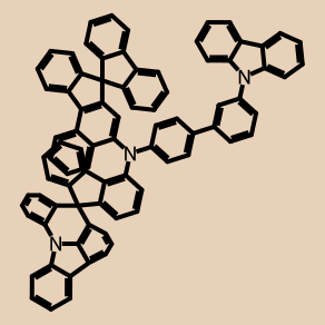 c1cc(-c2ccc(N(c3cccc4c3-c3ccccc3C43c4ccccc4-n4c5ccccc5c5cccc3c54)c3cc4c(c5ccccc35)-c3ccccc3C43c4ccccc4-c4ccccc43)cc2)cc(-n2c3ccccc3c3ccccc32)c1